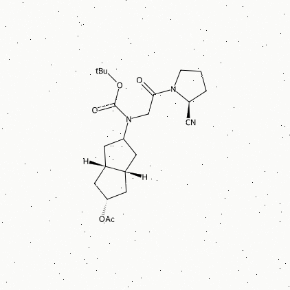 CC(=O)O[C@H]1C[C@H]2CC(N(CC(=O)N3CCC[C@H]3C#N)C(=O)OC(C)(C)C)C[C@H]2C1